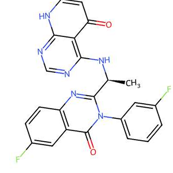 C[C@H](Nc1ncnc2[nH]ccc(=O)c12)c1nc2ccc(F)cc2c(=O)n1-c1cccc(F)c1